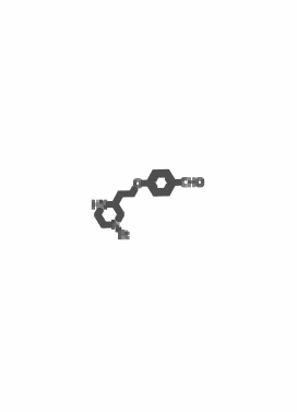 CCN1CCNC(CCOc2ccc(C=O)cc2)C1